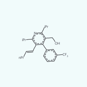 CCCC=Cc1c(C(C)C)nc(C(C)C)c(CO)c1-c1cccc(C(F)(F)F)c1